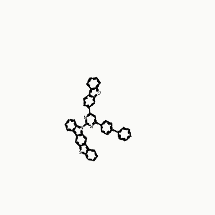 c1ccc(-c2ccc(-c3cc(-c4ccc5c(c4)oc4ccccc45)nc(-n4c5ccccc5c5cc6sc7ccccc7c6cc54)n3)cc2)cc1